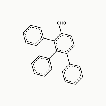 O=Cc1ccc(-c2ccccc2)c(-c2ccccc2)c1-c1ccccc1